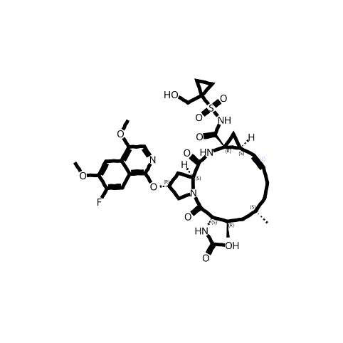 COc1cc2c(OC)cnc(O[C@@H]3C[C@H]4C(=O)N[C@]5(C(=O)NS(=O)(=O)C6(CO)CC6)C[C@H]5/C=C\CC[C@H](C)C[C@@H](C)[C@H](NC(=O)O)C(=O)N4C3)c2cc1F